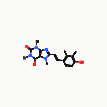 CCn1c(=O)c2c(nc(C=Cc3ccc(O)c(C)c3C)n2C)n(CC)c1=O